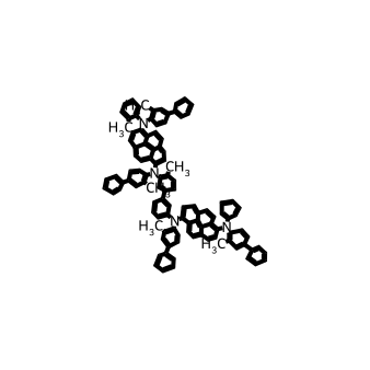 Cc1cc(-c2ccccc2)ccc1N(c1ccccc1)c1ccc2ccc3c(N(c4cccc(-c5ccc(C)c(N(c6ccc(-c7ccccc7)cc6C)c6ccc7ccc8c(N(c9ccccc9C)c9ccc(-c%10ccccc%10)cc9C)ccc9ccc6c7c98)c5)c4)c4ccc(-c5ccccc5)cc4C)ccc4ccc1c2c43